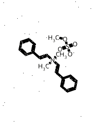 COS(=O)(=O)[O-].C[N+](C)(C=Cc1ccccc1)C=Cc1ccccc1